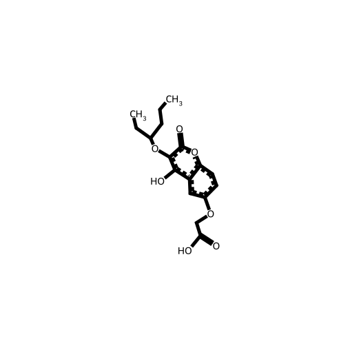 CCCC(CC)Oc1c(O)c2cc(OCC(=O)O)ccc2oc1=O